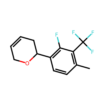 Cc1ccc(C2CC=CCO2)c(F)c1C(F)(F)F